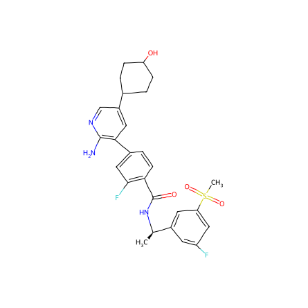 C[C@@H](NC(=O)c1ccc(-c2cc(C3CCC(O)CC3)cnc2N)cc1F)c1cc(F)cc(S(C)(=O)=O)c1